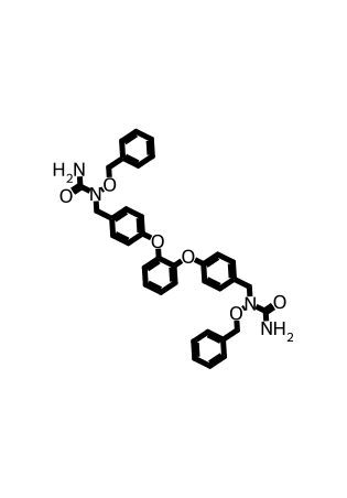 NC(=O)N(Cc1ccc(Oc2ccccc2Oc2ccc(CN(OCc3ccccc3)C(N)=O)cc2)cc1)OCc1ccccc1